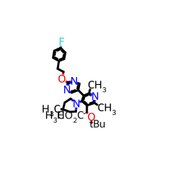 Cc1nc(C)c([C@H](OC(C)(C)C)C(=O)O)c(N2CCC(C)(C)CC2)c1-c1cnc(OCCc2ccc(F)cc2)nc1